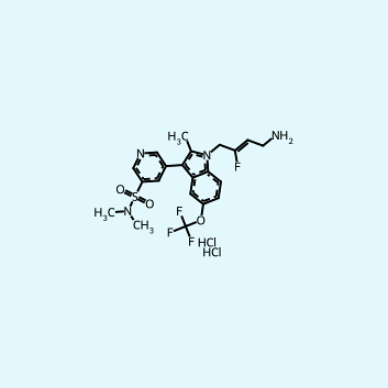 Cc1c(-c2cncc(S(=O)(=O)N(C)C)c2)c2cc(OC(F)(F)F)ccc2n1CC(F)=CCN.Cl.Cl